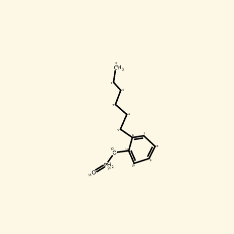 CCCCCCc1ccccc1O[PH2]=O